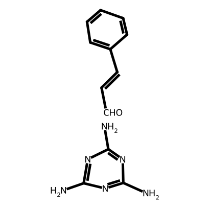 Nc1nc(N)nc(N)n1.O=CC=Cc1ccccc1